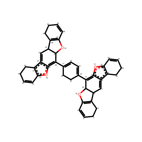 C1=CC2=C(CC1)C1C=c3c4c(oc3=C(C3=CC=C(C5=c6oc7c(c6=CC6C8=C(C=CCC8)OC56)CCC=C7)CC3)C1O2)C=CCC4